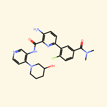 CN(C)C(=O)c1ccc(F)c(-c2ccc(N)c(C(=O)Nc3cnccc3N3CCCC(O)C3)n2)c1